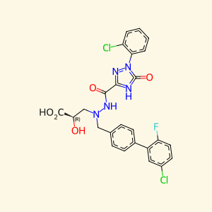 O=C(NN(Cc1ccc(-c2cc(Cl)ccc2F)cc1)C[C@@H](O)C(=O)O)c1nn(-c2ccccc2Cl)c(=O)[nH]1